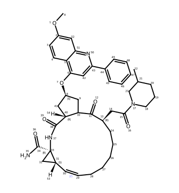 COc1ccc2c(O[C@H]3CC4C(=O)[C@@H](CC(=O)N5CCCC(C)C5)CCCCC/C=C\[C@@H]5C[C@@]5(C(N)=O)NC(=O)[C@@H]4C3)cc(-c3ccccc3)nc2c1